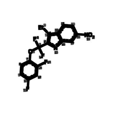 CCn1c(C(F)(F)Oc2ccc(F)cc2F)nc2cc([N+](=O)[O-])ccc21